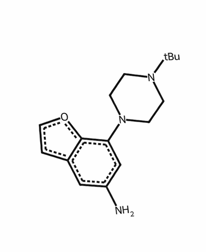 CC(C)(C)N1CCN(c2cc(N)cc3ccoc23)CC1